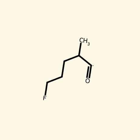 CC([C]=O)CCCF